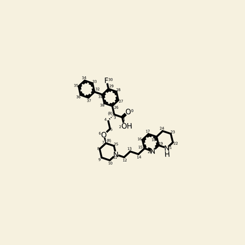 O=C(O)[C@H](CCO[C@@H]1CCCN(CCCc2ccc3c(n2)NCCC3)C1)c1ccc(F)c(-c2ccccc2)c1